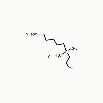 CCCCCCCCCCCC[P+](C)(C)CCO.[Cl-]